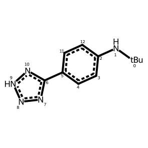 CC(C)(C)Nc1ccc(-c2nn[nH]n2)cc1